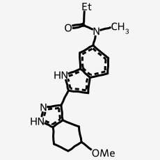 CCC(=O)N(C)c1ccc2cc(-c3n[nH]c4c3CC(OC)CC4)[nH]c2c1